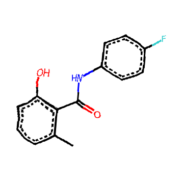 Cc1cccc(O)c1C(=O)Nc1ccc(F)cc1